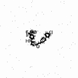 O=C(CCN1CCN(c2ccc(Cl)cc2)CC1)N1CC[C@@H](Nc2ccc([N+](=O)[O-])c(C(F)(F)F)c2)C1